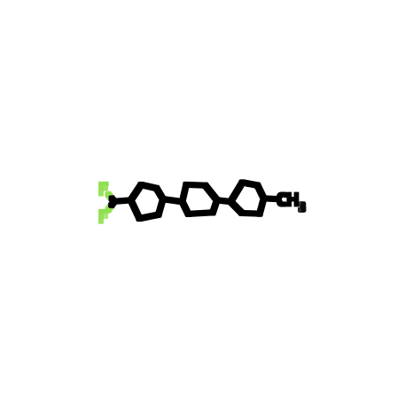 CC1CCC(C2CCC(C3CCC(C(F)F)CC3)CC2)CC1